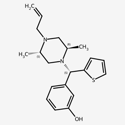 C=CCN1C[C@@H](C)N([C@@H](c2cccc(O)c2)c2cccs2)C[C@@H]1C